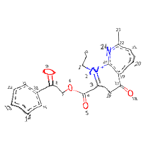 CC[N+]1=C(C(=O)OCC(=O)c2ccccc2)CC(=O)c2ccc(C)nc21